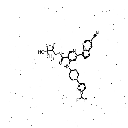 CC(C)(O)C(F)CNC(=O)c1cnc(-c2ccc3cc(C#N)cnn23)cc1NC1CCC(c2ccn(C(F)F)n2)CC1